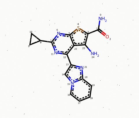 NC(=O)c1sc2nc(C3CC3)nc(-c3cn4ccccc4n3)c2c1N